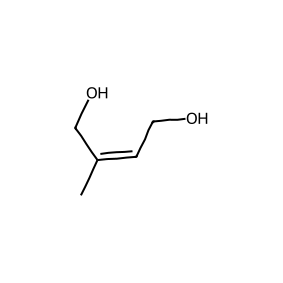 CC(=CCO)CO